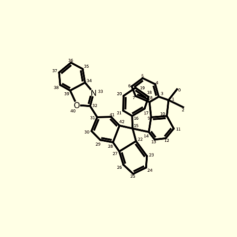 CC1(C)c2ccccc2-c2c1cccc2C1(c2ccccc2)c2ccccc2-c2ccc(-c3nc4ccccc4o3)cc21